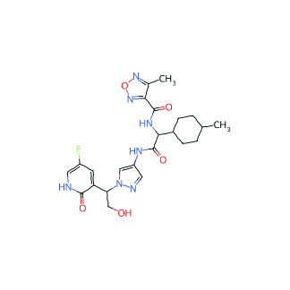 Cc1nonc1C(=O)NC(C(=O)Nc1cnn(C(CO)c2cc(F)c[nH]c2=O)c1)C1CCC(C)CC1